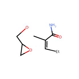 CCC=C(C)C(N)=O.[O]CC1CO1